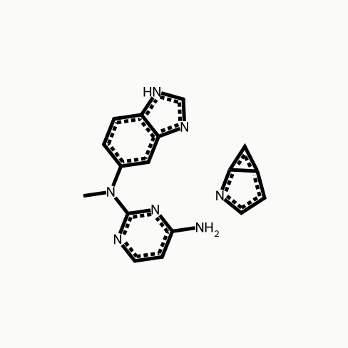 CN(c1ccc2[nH]cnc2c1)c1nccc(N)n1.c1cc2cc-2n1